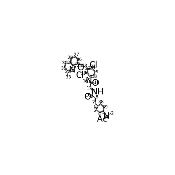 CC(=O)N(C)c1ccc(C=CC(=O)NCC(=O)N(C)c2ccc(Cl)c(COc3cccc4ccc(C)nc34)c2Cl)cc1